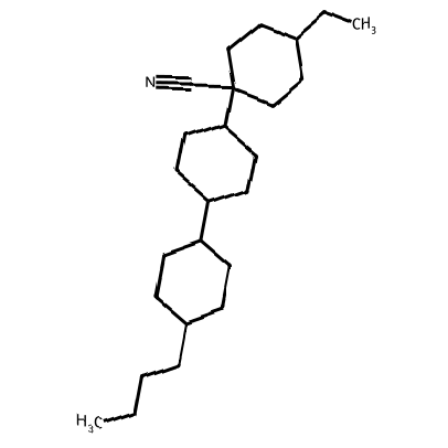 CCCCC1CCC(C2CCC(C3(C#N)CCC(CC)CC3)CC2)CC1